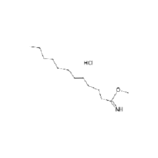 CCCCCCCCCCCC(=N)OC.Cl